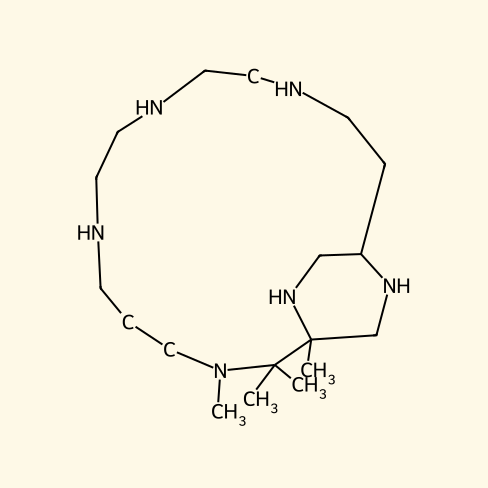 CN1CCCNCCNCCNCCC2CNC(C)(CN2)C1(C)C